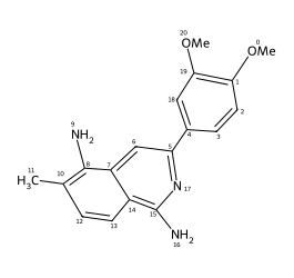 COc1ccc(-c2cc3c(N)c(C)ccc3c(N)n2)cc1OC